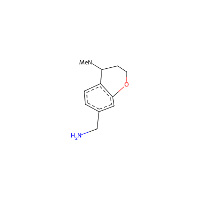 CNC1CCOc2cc(CN)ccc21